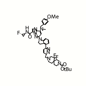 COc1ccc(CN(C)c2cc(N3CCc4c(-c5ccc(CN6CCC7(CCN(C(=O)OC(C)(C)C)CC7)C(F)(F)C6)nn5)cccc43)nn3c(C(=O)N[C@@H]4C[C@@H]4F)cnc23)cc1